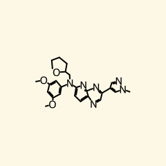 COc1cc(OC)cc(N(CC2CCCCO2)c2ccc3ncc(-c4cnn(C)c4)nc3n2)c1